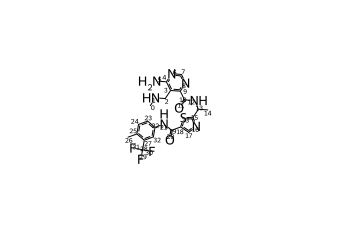 CNCc1c(N)ncnc1C(=O)NC(C)c1ncc(C(=O)Nc2ccc(C)c(C(F)(F)F)c2)s1